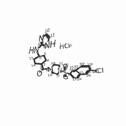 Cl.O=C(C1CCC(Nc2ncc[nH]2)CC1)N1CCN(S(=O)(=O)c2ccc3cc(Cl)ccc3c2)CC1